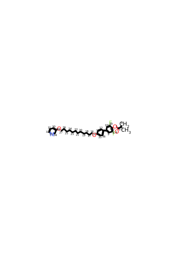 C=C(C)C(=O)Oc1c(F)cc(-c2ccc(OCCCCCCCCCCCCOc3cccnc3)cc2)cc1F